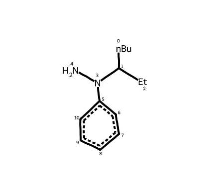 CCCCC(CC)N(N)c1ccccc1